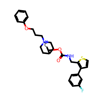 O=C(NCc1sccc1-c1cccc(F)c1)OC1C[N+]2(CCCOc3ccccc3)CCC1CC2